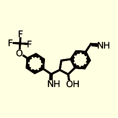 N=Cc1ccc2c(c1)CC(C(=N)c1ccc(OC(F)(F)F)cc1)C2O